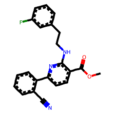 COC(=O)c1ccc(-c2ccccc2C#N)nc1NCCc1cccc(F)c1